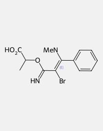 CN/C(=C(/Br)C(=N)OC(C)C(=O)O)c1ccccc1